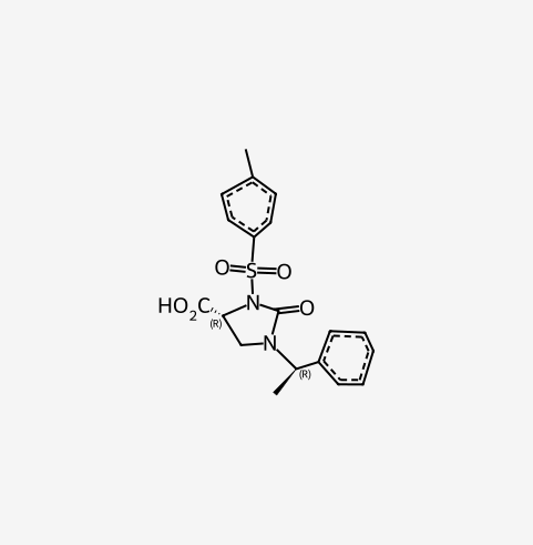 Cc1ccc(S(=O)(=O)N2C(=O)N([C@H](C)c3ccccc3)C[C@@H]2C(=O)O)cc1